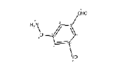 NOc1cc(C=O)cc(N=O)c1